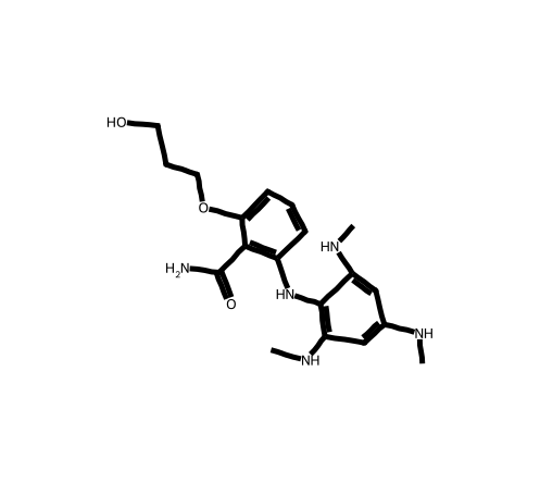 CNc1cc(NC)c(Nc2cccc(OCCCO)c2C(N)=O)c(NC)c1